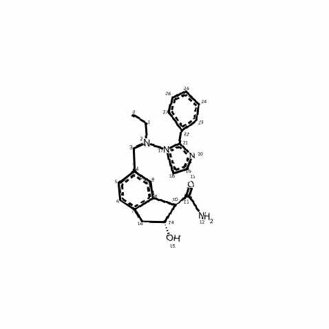 CCN(Cc1ccc2c(c1)[C@@H](C(N)=O)[C@H](O)C2)n1ccnc1-c1ccccc1